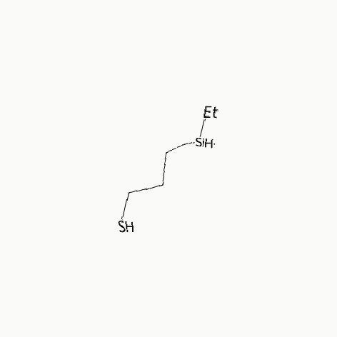 CC[SiH]CCCS